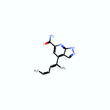 C/C=C\C=C(/C)c1cc(C(N)=O)nc2[nH]ncc12